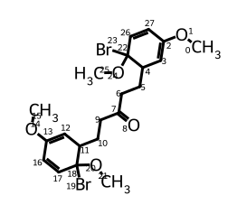 COC1=CC(CCC(=O)CCC2C=C(OC)C=CC2(Br)OC)C(Br)(OC)C=C1